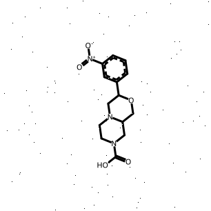 O=C(O)N1CCN2CC(c3cccc([N+](=O)[O-])c3)OCC2C1